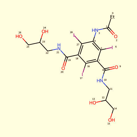 CCC(=O)Nc1c(I)c(C(=O)NCC(O)CO)c(I)c(C(=O)NCC(O)CO)c1I